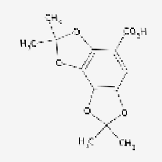 CC1(C)Oc2cc(C(=O)O)c3c(c2O1)OC(C)(C)O3